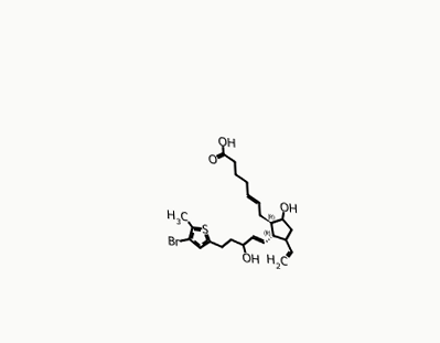 C=CC1CC(O)[C@H](CC=CCCCC(=O)O)[C@H]1C=CC(O)CCc1cc(Br)c(C)s1